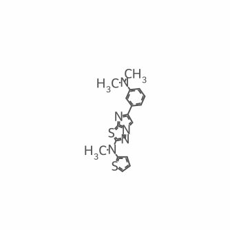 CN(C)c1cccc(-c2cn3nc(N(C)c4cccs4)sc3n2)c1